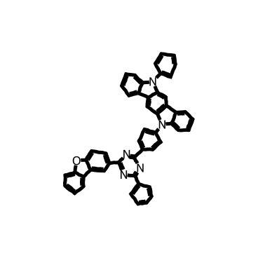 c1ccc(-c2nc(-c3ccc(-n4c5ccccc5c5cc6c(cc54)c4ccccc4n6-c4ccccc4)cc3)nc(-c3ccc4oc5ccccc5c4c3)n2)cc1